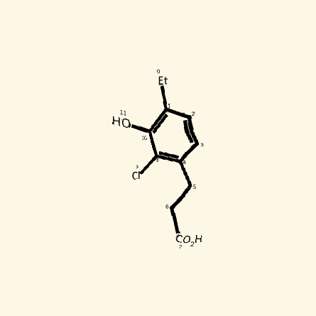 CCc1ccc(CCC(=O)O)c(Cl)c1O